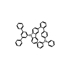 c1ccc(-c2cc(-c3ccccc3)cc(-n3c4ccccc4c4cc(-c5ccccc5-c5ccc(N(c6ccccc6)c6ccccc6)cc5)ccc43)c2)cc1